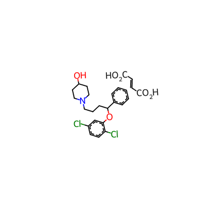 O=C(O)/C=C/C(=O)O.OC1CCN(CCCC(Oc2cc(Cl)ccc2Cl)c2ccccc2)CC1